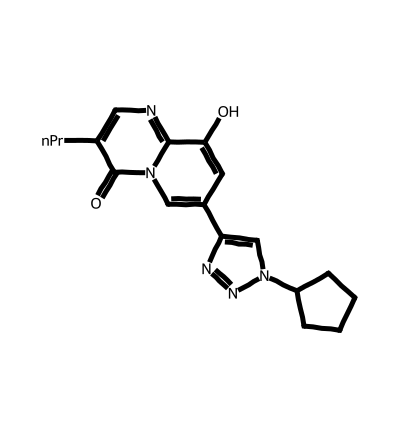 CCCc1cnc2c(O)cc(-c3cn(C4CCCC4)nn3)cn2c1=O